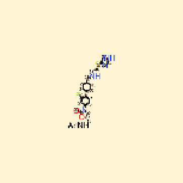 CC(=O)NC[C@H]1CN(c2ccc(-c3ccc(CNCCSc4c[nH]cn4)cc3)c(F)c2)C(=O)O1